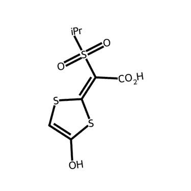 CC(C)S(=O)(=O)C(C(=O)O)=C1SC=C(O)S1